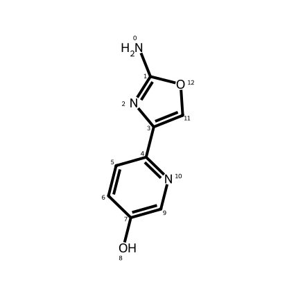 Nc1nc(-c2ccc(O)cn2)co1